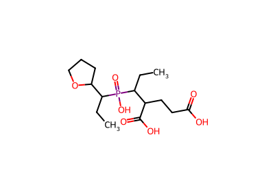 CCC(C1CCCO1)P(=O)(O)C(CC)C(CCC(=O)O)C(=O)O